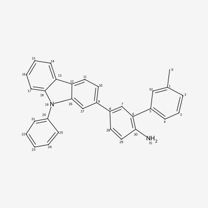 Cc1cccc(-c2cc(-c3ccc4c5ccccc5n(-c5ccccc5)c4c3)ccc2N)c1